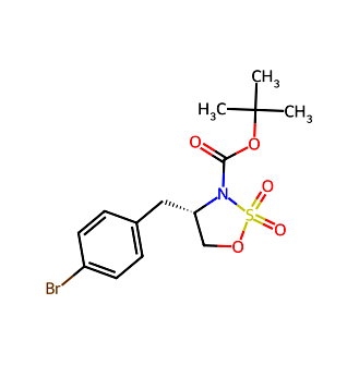 CC(C)(C)OC(=O)N1[C@@H](Cc2ccc(Br)cc2)COS1(=O)=O